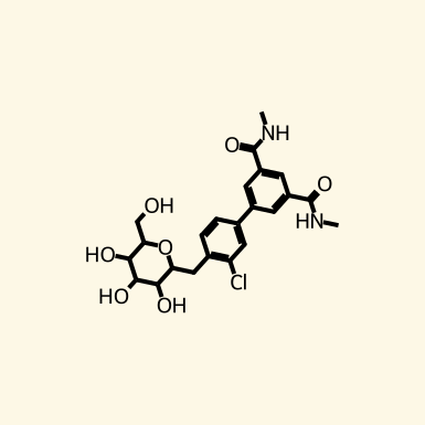 CNC(=O)c1cc(C(=O)NC)cc(-c2ccc(CC3OC(CO)C(O)C(O)C3O)c(Cl)c2)c1